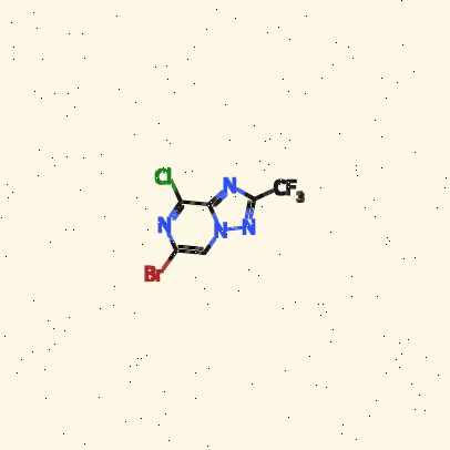 FC(F)(F)c1nc2c(Cl)nc(Br)cn2n1